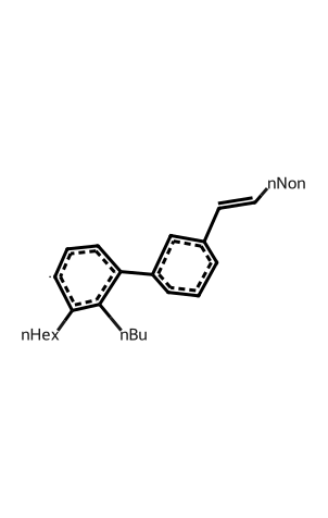 CCCCCCCCCC=Cc1cccc(-c2cc[c]c(CCCCCC)c2CCCC)c1